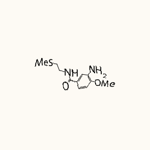 COc1ccc(C(=O)NCCSC)cc1N